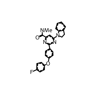 CNC(=O)c1cc(N2CCc3ccccc32)nc(-c2ccc(Oc3ccc(F)cc3)cc2)n1